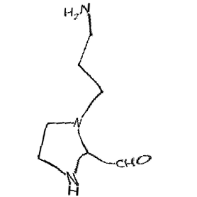 NCCCN1CCNC1C=O